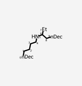 CCCCCCCCCCCCCCNC(CC)CCCCCCCCCCC